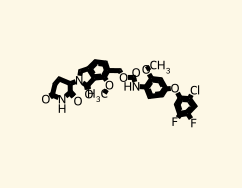 COc1cc(Oc2cc(F)c(F)cc2Cl)ccc1NC(=O)OCc1ccc2c(c1OC)C(=O)N(C1CCC(=O)NC1=O)C2